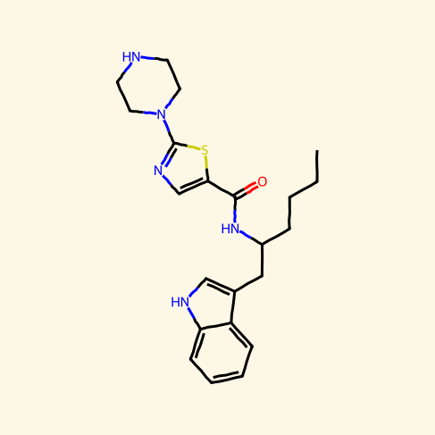 CCCCC(Cc1c[nH]c2ccccc12)NC(=O)c1cnc(N2CCNCC2)s1